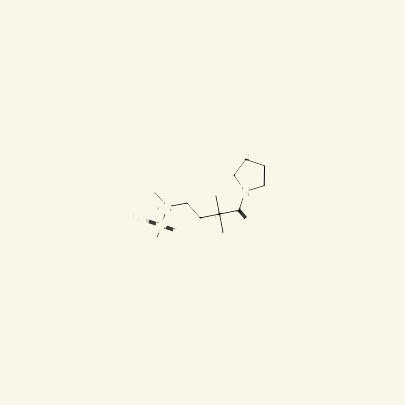 CC(C)S(=O)(=O)N(C)CCC(C)(C)C(=O)N1CCCC1